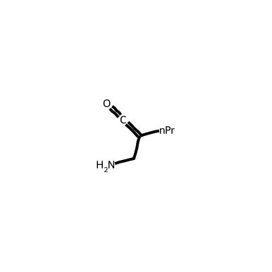 CCCC(=C=O)CN